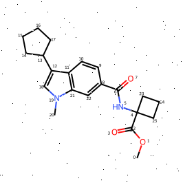 COC(=O)C1(NC(=O)c2ccc3c(C4CCCC4)cn(C)c3c2)CCC1